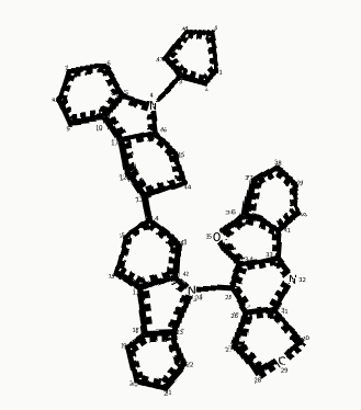 c1ccc(-n2c3ccccc3c3cc(-c4ccc5c6ccccc6n(-c6c7ccccc7nc7c6oc6ccccc67)c5c4)ccc32)cc1